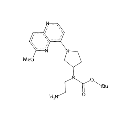 COc1ccc2nccc(N3CCC(N(CCN)C(=O)OC(C)(C)C)C3)c2n1